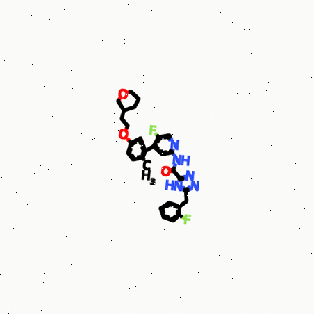 Cc1ccc(OCCC2CCCOC2)cc1-c1cc(NC(=O)c2nnc(Cc3ccccc3F)[nH]2)ncc1F